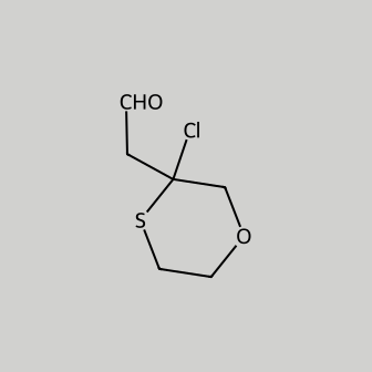 O=CCC1(Cl)COCCS1